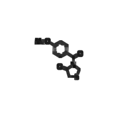 COc1ccc(C(=O)N2CSCC2=O)cc1